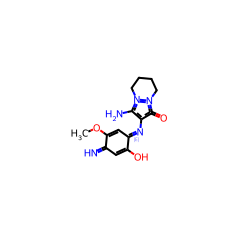 COC1=C/C(=N\c2c(N)n3n(c2=O)CCCC3)C(O)=CC1=N